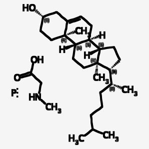 CC(C)CCC[C@@H](C)[C@H]1CC[C@H]2[C@@H]3CC=C4C[C@@H](O)CC[C@]4(C)[C@H]3CC[C@]12C.CNCC(=O)O.[P]